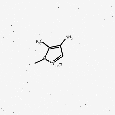 Cl.Cn1ncc(N)c1C(F)(F)F